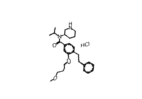 COCCCOc1cc(C(=O)N(C(C)C)[C@@H]2CCCNC2)ccc1CCc1ccccc1.Cl